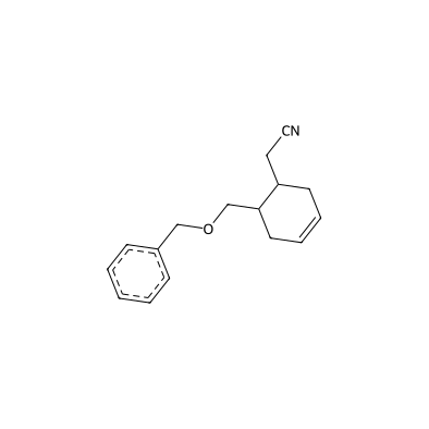 N#CCC1CC=CCC1COCc1ccccc1